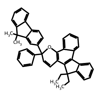 CCC1(CC)c2ccccc2-c2c1c1c(c3ccccc23)OC(c2ccccc2)(c2ccc3c(c2)C(C)(C)c2ccccc2-3)C=C1